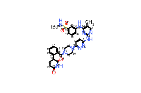 Cc1cnc(Nc2ccc(N3CCN(Cc4ccccc4C4CCC(=O)NC4=O)CC3)nn2)nc1Nc1cccc(S(=O)(=O)NC(C)(C)C)c1